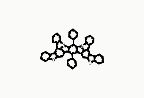 c1ccc(-c2c3c4cc5oc6ccccc6c5c5c6ccccc6n(c3c(-c3ccccc3)c3c2c2cc6oc7ccccc7c6c6c7ccccc7n3c26)c45)cc1